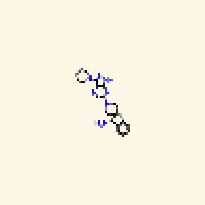 N[C@@H]1c2ccccc2CC12CCN(c1cnc3c(N4CCCCC4)n[nH]c3n1)CC2